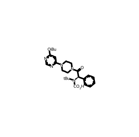 CC(C)COc1cc(N2CCN(C(=O)[C@@H](c3ccccc3)N(C(=O)O)C(C)(C)C)CC2)ncn1